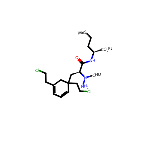 CCOC(=O)[C@H](CCSC)NC(=O)[C@H](CC1(CCCl)C=CC=C(CCCl)C1)N(N)C=O